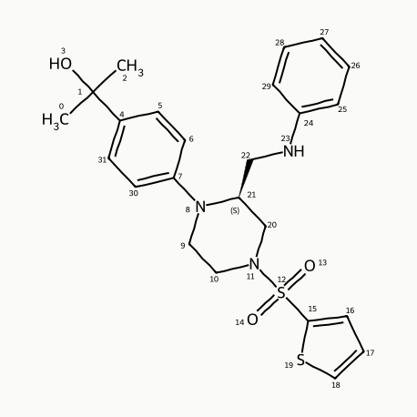 CC(C)(O)c1ccc(N2CCN(S(=O)(=O)c3cccs3)C[C@@H]2CNc2ccccc2)cc1